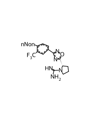 CCCCCCCCCc1ccc(-c2noc([C@@H]3CCCN3C(=N)N)n2)cc1C(F)(F)F